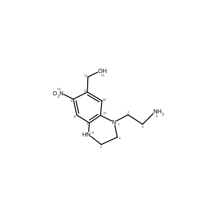 NCCN1CCNc2cc([N+](=O)[O-])c(CO)cc21